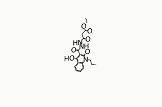 CCCn1c(=O)c(C(=O)NNC(=O)CC(=O)OCC)c(O)c2ccccc21